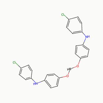 Clc1ccc(Nc2ccc(OBOc3ccc(Nc4ccc(Cl)cc4)cc3)cc2)cc1